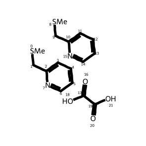 CSCc1ccccn1.CSCc1ccccn1.O=C(O)C(=O)O